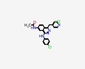 CC(=O)Nc1ccc2c(Cc3ccncc3)nnc(Nc3ccc(Cl)cc3)c2c1.Cl